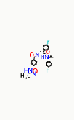 CC1=NOC(c2ccc(C(=O)N3CCC(C(=O)NC4(c5ccc(F)cc5)CC4)(c4ccc(F)cc4)CC3)cc2)N1